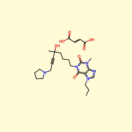 CCCn1cnc2c1c(=O)n(CCCCC(C)(O)C#CCN1CCCC1)c(=O)n2C.O=C(O)C=CC(=O)O